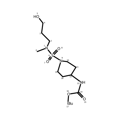 CN(CCCO)S(=O)(=O)N1CCC(NC(=O)OC(C)(C)C)CC1